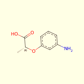 C[C@@H](Oc1cccc(N)c1)C(=O)O